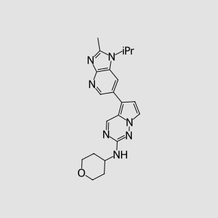 Cc1nc2ncc(-c3ccn4nc(NC5CCOCC5)ncc34)cc2n1C(C)C